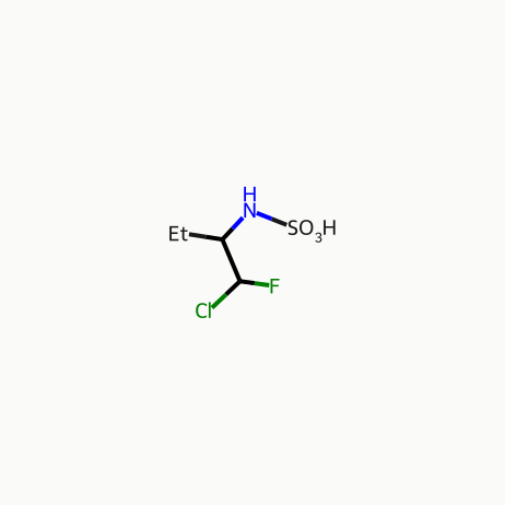 CCC(NS(=O)(=O)O)C(F)Cl